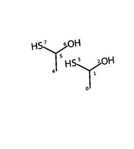 CC(O)S.CC(O)S